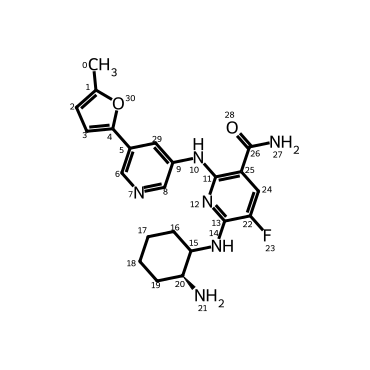 Cc1ccc(-c2cncc(Nc3nc(NC4CCCC[C@@H]4N)c(F)cc3C(N)=O)c2)o1